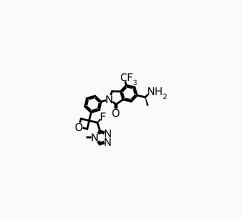 C[C@H](N)c1cc2c(c(C(F)(F)F)c1)CN(c1cccc(C3([C@@H](F)c4nncn4C)COC3)c1)C2=O